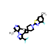 Cc1cc(F)c2nc(N3CCC4(C=C(c5c(C(F)F)cnn5-c5c(C)cncc5C)C4)CC3)sc2c1